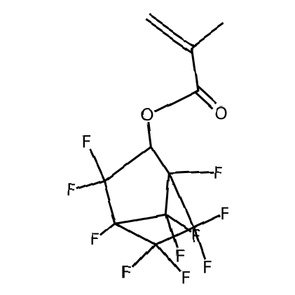 C=C(C)C(=O)OC1C(F)(F)C2(F)C(F)(F)C(F)(F)C1(F)C2(F)F